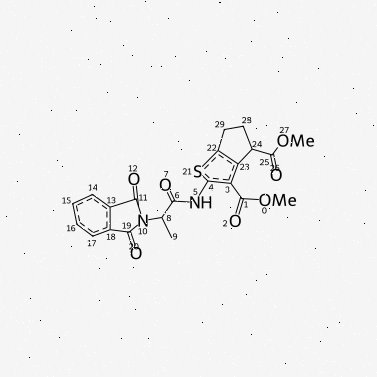 COC(=O)c1c(NC(=O)C(C)N2C(=O)c3ccccc3C2=O)sc2c1C(C(=O)OC)CC2